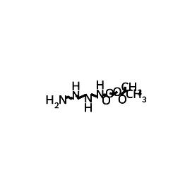 CC(C)C(=O)OCOC(=O)NCCNCCNCCN